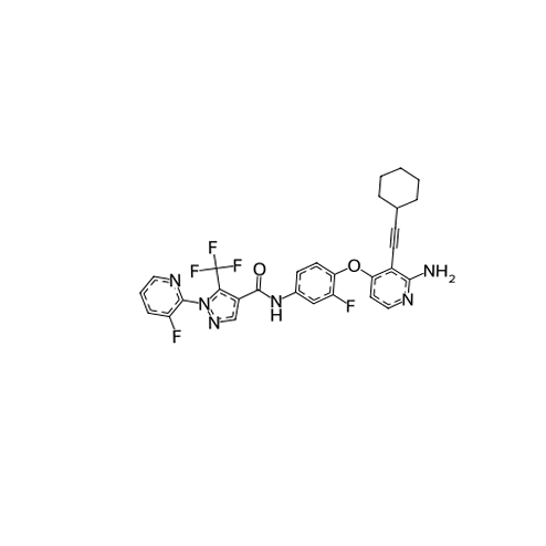 Nc1nccc(Oc2ccc(NC(=O)c3cnn(-c4ncccc4F)c3C(F)(F)F)cc2F)c1C#CC1CCCCC1